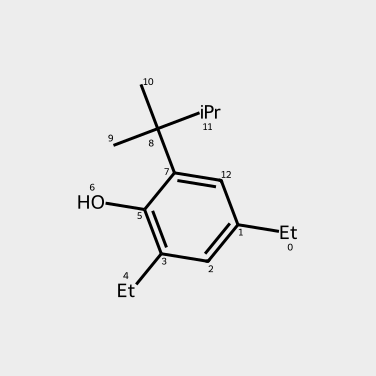 CCc1cc(CC)c(O)c(C(C)(C)C(C)C)c1